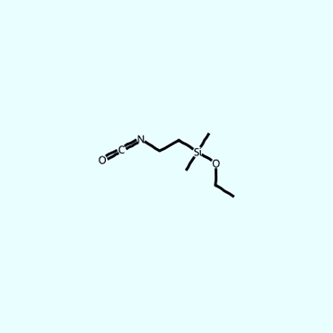 CCO[Si](C)(C)CCN=C=O